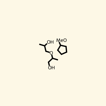 CC(O)COC(C)CO.COC1CCCC1